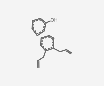 C=CCc1ccccc1CC=C.Oc1ccccc1